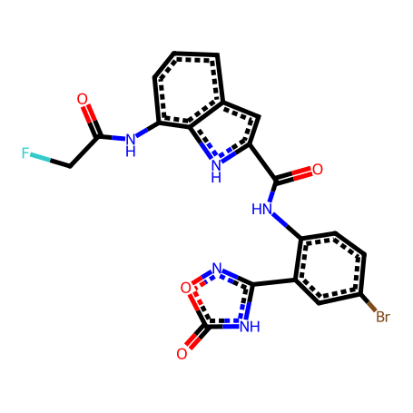 O=C(CF)Nc1cccc2cc(C(=O)Nc3ccc(Br)cc3-c3noc(=O)[nH]3)[nH]c12